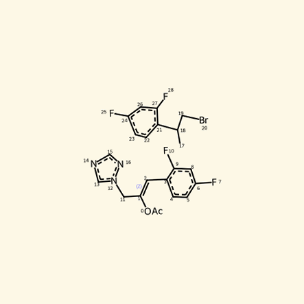 CC(=O)O/C(=C\c1ccc(F)cc1F)Cn1cncn1.CC(CBr)c1ccc(F)cc1F